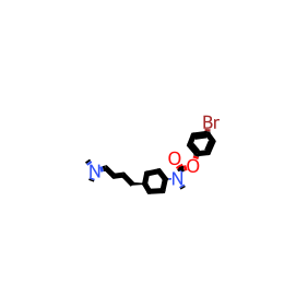 CN(C)CCCC[C@H]1CC[C@H](N(C)C(=O)Oc2ccc(Br)cc2)CC1